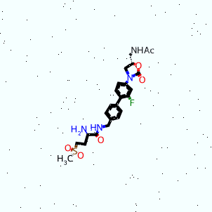 CC(=O)NC[C@H]1CN(c2ccc(-c3ccc(CNC(=O)[C@@H](N)CCS(C)(=O)=O)cc3)c(F)c2)C(=O)O1